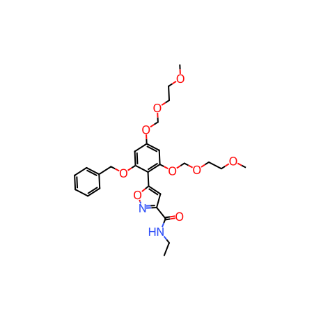 CCNC(=O)c1cc(-c2c(OCOCCOC)cc(OCOCCOC)cc2OCc2ccccc2)on1